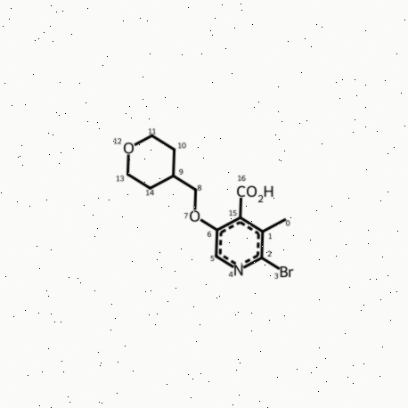 Cc1c(Br)ncc(OCC2CCOCC2)c1C(=O)O